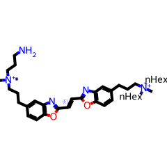 CCCCCC[N+](C)(CCCCCC)CCCc1ccc2oc(/C=C/c3nc4cc(CCC[N+](C)(C)CCCN)ccc4o3)nc2c1